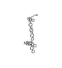 C#CCCCn1ncn(-c2ccc(N3CCN(c4ccc(OC[C@H]5CO[C@](Cn6cncn6)(c6ccc(Cl)cc6Cl)O5)cc4)CC3)cc2)c1=O